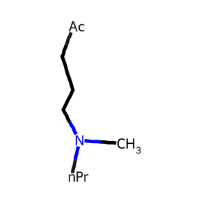 CCCN(C)CCCC(C)=O